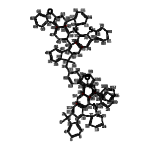 CC1(C)c2ccccc2-c2c(-c3ccccc3N(c3ccccc3-c3ccc4c(c3)oc3cc(CC5(C)c6ccccc6-c6c(-c7ccccc7N(c7ccccc7-c7ccc8c(c7)oc7ccccc78)c7cccc8c7sc7ccccc78)cccc65)ccc34)c3cccc4c5ccccc5n(-c5ccccc5)c34)cccc21